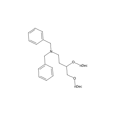 CCCCCCCCCCOCC(CCN(Cc1ccccc1)Cc1ccccc1)OCCCCCCCCCC